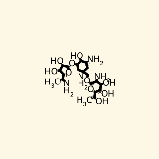 C[C@H](N)[C@H]1O[C@@H](OC2CC(N)(CO[C@H]3OC([C@@H](C)O)[C@@H](O)C(O)C3N)C[C@@H](N)C2O)C(O)C1O